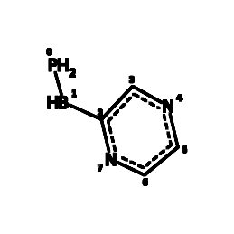 PBc1cnccn1